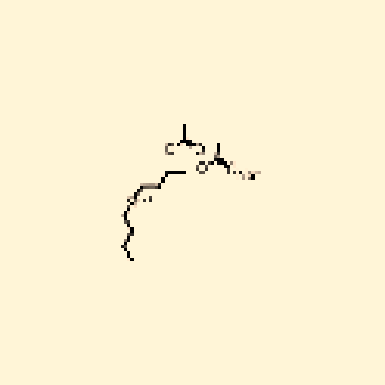 CC(=O)[O-].CC(=O)[O-].CCC[CH2][Sn+2][CH2]CCC.[Na+]